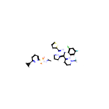 CC(F)N1CC=CC(C2=C3C[C@H](CCNS(=O)(=O)c4cccc(C5CC5)n4)CN3C(C3CC=CS3)=N[C@H]2c2ccc(F)cc2Cl)=N1